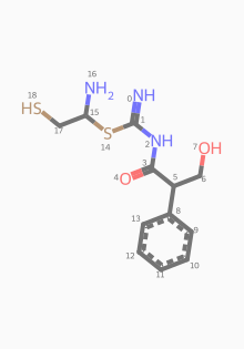 N=C(NC(=O)C(CO)c1ccccc1)SC(N)CS